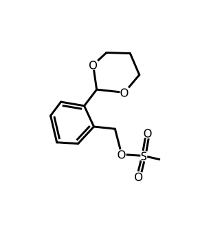 CS(=O)(=O)OCc1ccccc1C1OCCCO1